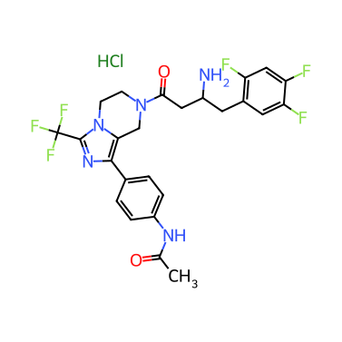 CC(=O)Nc1ccc(-c2nc(C(F)(F)F)n3c2CN(C(=O)CC(N)Cc2cc(F)c(F)cc2F)CC3)cc1.Cl